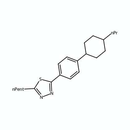 CCCCCc1nnc(-c2ccc(C3CCC(CCC)CC3)cc2)s1